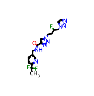 CC(F)(F)c1ccc(CNC(=O)c2cn(CCC(F)Cn3ccnn3)nn2)cn1